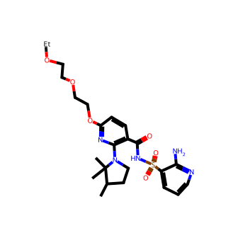 CCOCCOCCOc1ccc(C(=O)NS(=O)(=O)c2cccnc2N)c(N2CCC(C)C2(C)C)n1